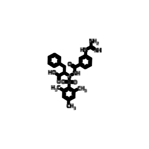 Cc1cc(C)c(S(=O)(=O)N(NC(=O)c2cccc(NC(=N)N)c2)C(Cc2ccccc2)C(=O)O)c(C)c1